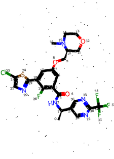 C[C@@H](NC(=O)c1cc(OC[C@@H]2COCCN2C)cc(-c2ncc(Cl)s2)c1F)c1cnc(C(F)(F)F)nc1